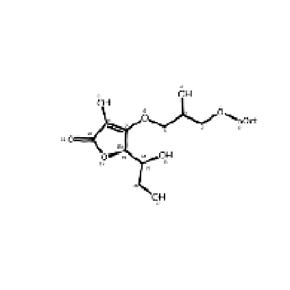 CCCCCCCCOCC(O)COC1=C(O)C(=O)O[C@@H]1[C@@H](O)CO